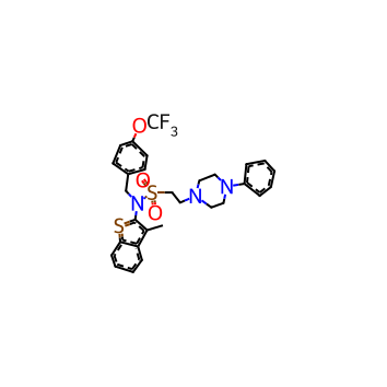 Cc1c(N(Cc2ccc(OC(F)(F)F)cc2)S(=O)(=O)CCN2CCN(c3ccccc3)CC2)sc2ccccc12